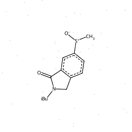 CCC(C)N1Cc2ccc([S+](C)[O-])cc2C1=O